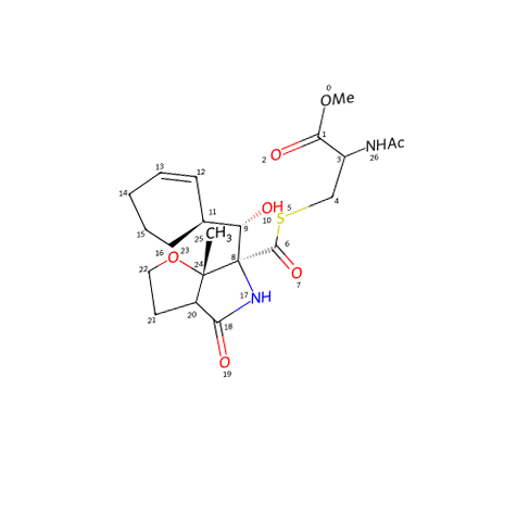 COC(=O)C(CSC(=O)[C@]1([C@@H](O)[C@@H]2C=CCCC2)NC(=O)C2CCO[C@@]21C)NC(C)=O